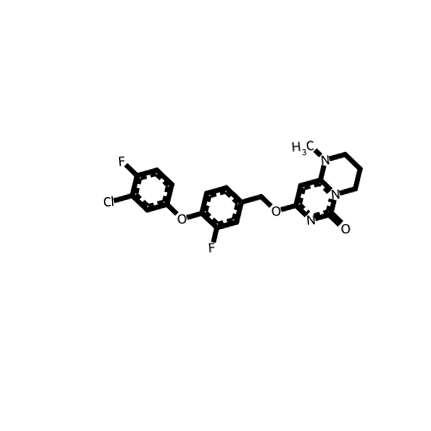 CN1CCCn2c1cc(OCc1ccc(Oc3ccc(F)c(Cl)c3)c(F)c1)nc2=O